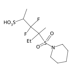 CCC(C)(C(F)(F)C(C)S(=O)(=O)O)S(=O)(=O)N1CCCCC1